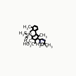 C=C(C)/C=C\C(=C/C)C1=C(CC(=O)O)C(C)=C2CC(=C1C)c1cccc(C)c1CN2[S+](C)[O-]